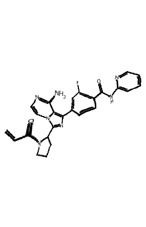 C=CC(=O)N1CCCC1c1nc(-c2ccc(C(=O)Nc3ccccn3)c(F)c2)c2c(N)nccn12